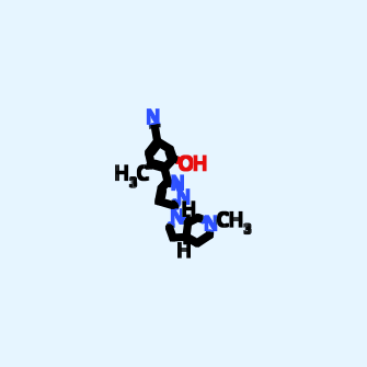 Cc1cc(C#N)cc(O)c1-c1ccc(N2CC[C@@H]3CCN(C)C[C@@H]32)nn1